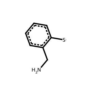 NCc1ccccc1[S]